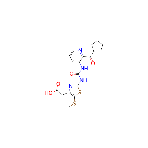 CSc1sc(NC(=O)Nc2cccnc2C(=O)C2CCCC2)nc1CC(=O)O